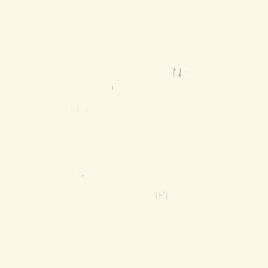 CC(=S)C(CC(N)=O)C(C)C